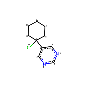 ClC1(c2cncnc2)CCCCC1